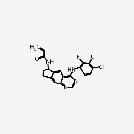 C=CC(=O)NC1CCc2cc3ncnc(Nc4ccc(Cl)c(Cl)c4F)c3cc21